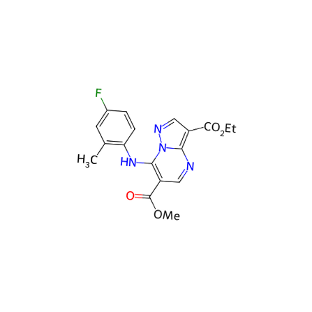 CCOC(=O)c1cnn2c(Nc3ccc(F)cc3C)c(C(=O)OC)cnc12